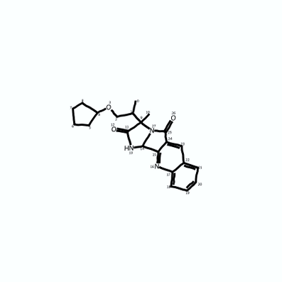 CC(COC1CCCC1)C1(C)C(=O)NC2c3nc4ccccc4cc3C(=O)N21